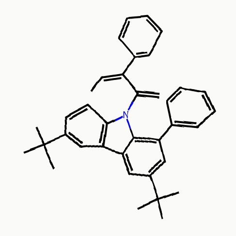 C=C(/C(=C\C)c1ccccc1)n1c2ccc(C(C)(C)C)cc2c2cc(C(C)(C)C)cc(-c3ccccc3)c21